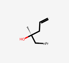 [CH]=CC[C@](C)(O)CCCC